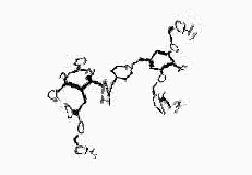 CCOC(=O)Cc1c(Cl)nc(Cl)nc1NC1CCN(Cc2cc(OCC)c(F)c(OCC)c2)CC1